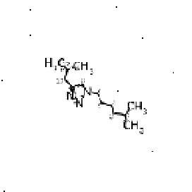 CC(C)=CCCCn1cc(CC(C)C)nn1